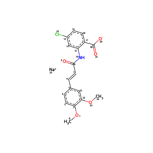 COc1ccc(/C=C/C(=O)Nc2cc(Cl)ccc2C(=O)[O-])cc1OC.[Na+]